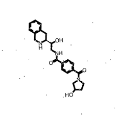 O=C(NCC(O)[C@@H]1Cc2ccccc2CN1)c1ccc(C(=O)N2CCC(O)C2)cc1